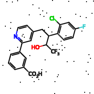 O=C(O)c1cccc(-c2cc(CC(c3ccc(F)cc3Cl)C(O)C(F)(F)F)ccn2)c1